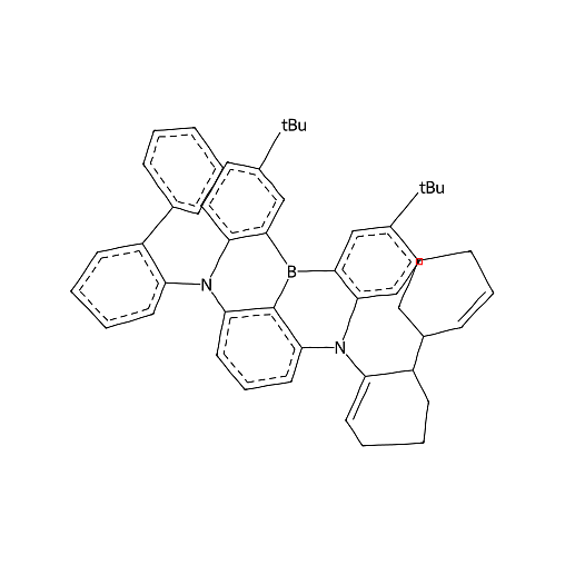 CC(C)(C)c1ccc2c(c1)B1c3cc(C(C)(C)C)ccc3N(c3ccccc3-c3ccccc3)c3cccc(c31)N2C1=CCCCC1C1C=CCCC1